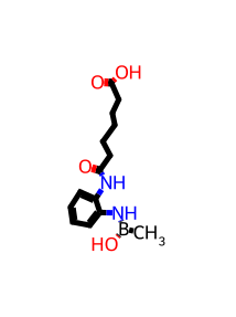 CB(O)Nc1ccccc1NC(=O)CCCCCC(=O)O